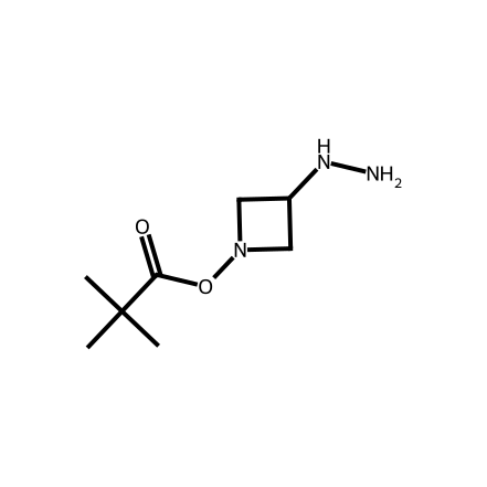 CC(C)(C)C(=O)ON1CC(NN)C1